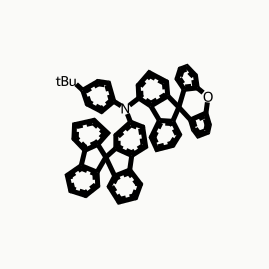 CC(C)(C)c1ccc(N(c2ccc3c(c2)C2(c4ccccc4-c4ccccc42)c2ccccc2-3)c2cccc3c2-c2ccccc2C32c3ccccc3Oc3ccccc32)cc1